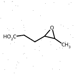 CC1OC1CCC(=O)O